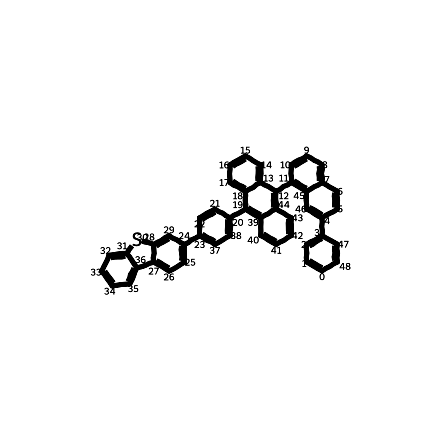 c1ccc(-c2ccc3cccc(-c4c5ccccc5c(-c5ccc(-c6ccc7c(c6)sc6ccccc67)cc5)c5ccccc45)c3c2)cc1